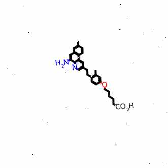 Cc1ccc2c(c1)cc(N)c1ncc(CCc3ccc(OCCCCCC(=O)O)cc3C)cc12